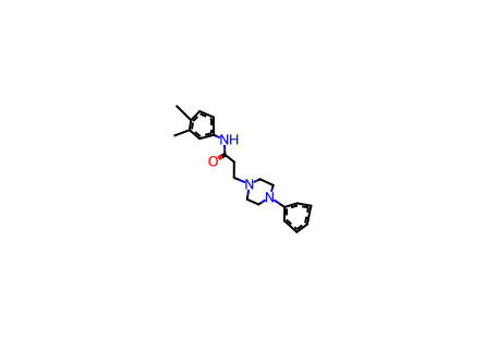 Cc1ccc(NC(=O)CCN2CCN(c3ccccc3)CC2)cc1C